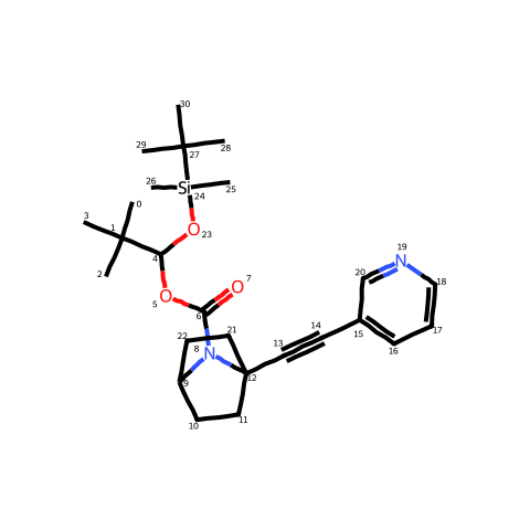 CC(C)(C)C(OC(=O)N1C2CCC1(C#Cc1cccnc1)CC2)O[Si](C)(C)C(C)(C)C